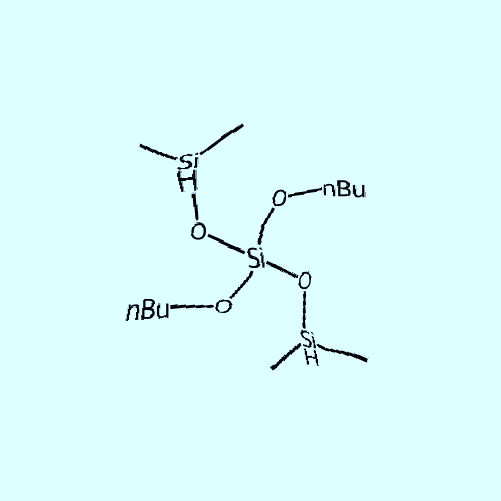 CCCCO[Si](OCCCC)(O[SiH](C)C)O[SiH](C)C